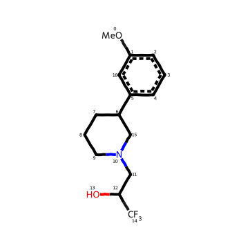 COc1cccc(C2CCCN(CC(O)C(F)(F)F)C2)c1